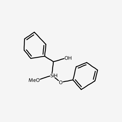 CO[SiH](Oc1ccccc1)C(O)c1ccccc1